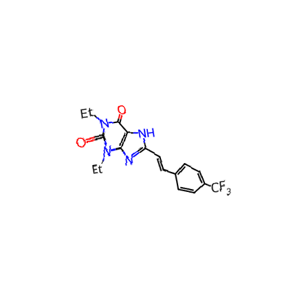 CCn1c(=O)c2[nH]c(C=Cc3ccc(C(F)(F)F)cc3)nc2n(CC)c1=O